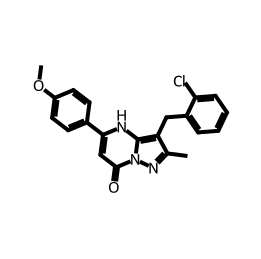 COc1ccc(-c2cc(=O)n3nc(C)c(Cc4ccccc4Cl)c3[nH]2)cc1